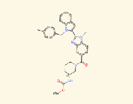 Cc1ccc(Cn2c(-c3nc4cc(C(=O)N5CCC[C@@H](NC(=O)OC(C)(C)C)C5)ccc4n3C)cc3ccccc32)cc1